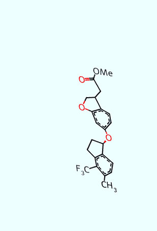 COC(=O)CC1COc2cc(O[C@@H]3CCc4c3ccc(C)c4C(F)(F)F)ccc21